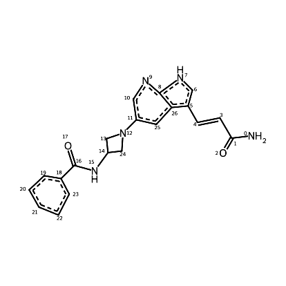 NC(=O)C=Cc1c[nH]c2ncc(N3CC(NC(=O)c4ccccc4)C3)cc12